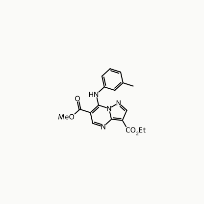 CCOC(=O)c1cnn2c(Nc3cccc(C)c3)c(C(=O)OC)cnc12